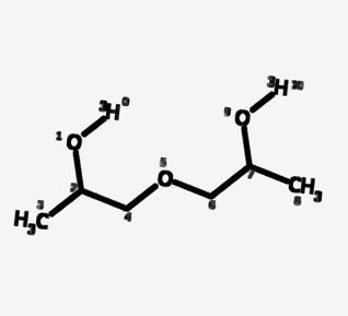 [3H]OC(C)COCC(C)O[3H]